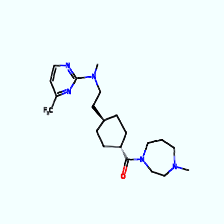 CN1CCCN(C(=O)[C@H]2CC[C@H](CCN(C)c3nccc(C(F)(F)F)n3)CC2)CC1